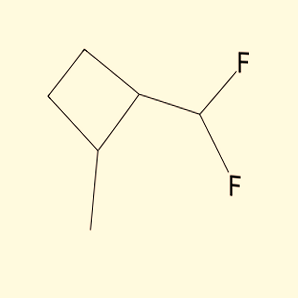 CC1CCC1C(F)F